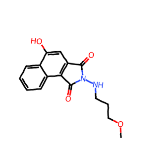 COCCCNN1C(=O)c2cc(O)c3ccccc3c2C1=O